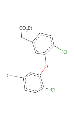 CCOC(=O)Cc1ccc(Cl)c(Oc2cc(Cl)ccc2Cl)c1